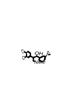 CNCC(c1ccc(Cl)c(Cl)c1)[C@H](O)c1cccc(N(C)C)c1